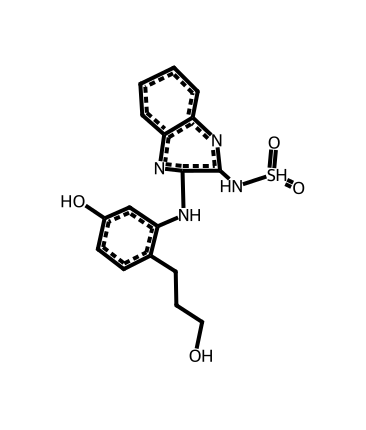 O=[SH](=O)Nc1nc2ccccc2nc1Nc1cc(O)ccc1CCCO